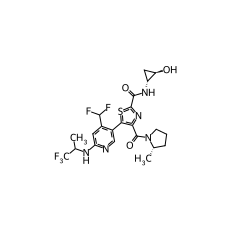 CC(Nc1cc(C(F)F)c(-c2sc(C(=O)N[C@@H]3C[C@H]3O)nc2C(=O)N2CCC[C@@H]2C)cn1)C(F)(F)F